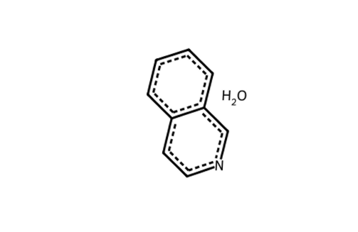 O.c1ccc2cnccc2c1